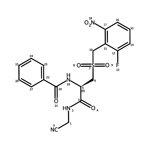 N#CCNC(=O)[C@H](CS(=O)(=O)Cc1c(F)cccc1[N+](=O)[O-])NC(=O)c1ccccc1